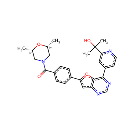 C[C@@H]1CN(C(=O)c2ccc(-c3cc4ncnc(-c5ccnc(C(C)(C)O)c5)c4o3)cc2)C[C@H](C)O1